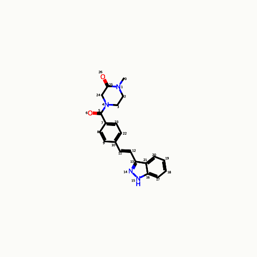 CN1CCN(C(=O)c2ccc(C=Cc3n[nH]c4ccccc34)cc2)CC1=O